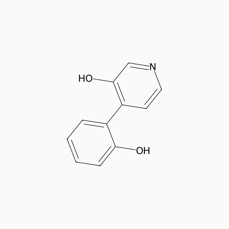 Oc1ccccc1-c1ccncc1O